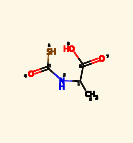 CC(NC(=O)S)C(=O)O